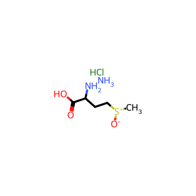 C[S+]([O-])CCC(N)C(=O)O.Cl.N